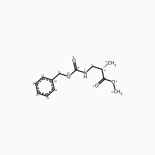 COC(=O)[C@@H](C)CNC(=O)OCc1ccccc1